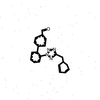 O=Cc1ccc(-c2ccccc2-n2nnc(CC3C=CC=CC3)n2)cc1